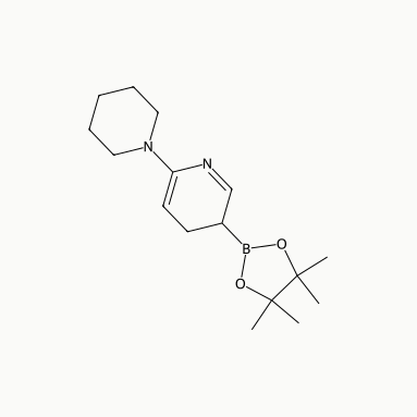 CC1(C)OB(C2C=NC(N3CCCCC3)=CC2)OC1(C)C